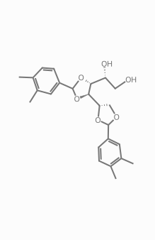 Cc1ccc(C2O[C@H]([C@H](O)CO)[C@@H]([C@@H]3COC(c4ccc(C)c(C)c4)O3)O2)cc1C